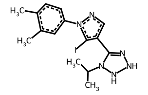 Cc1ccc(-n2ncc(C3=NNNN3C(C)C)c2I)cc1C